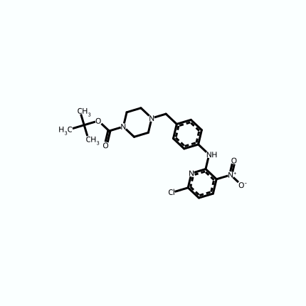 CC(C)(C)OC(=O)N1CCN(Cc2ccc(Nc3nc(Cl)ccc3[N+](=O)[O-])cc2)CC1